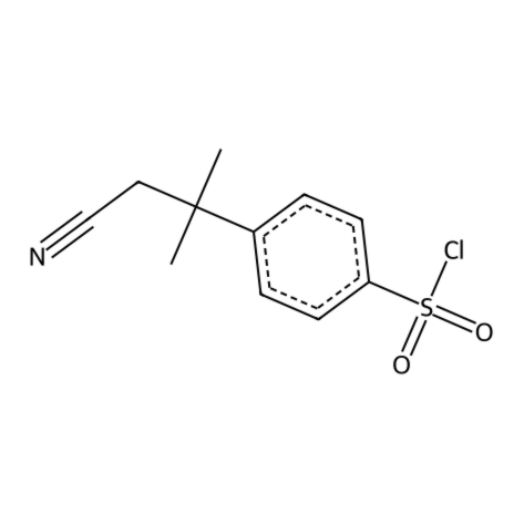 CC(C)(CC#N)c1ccc(S(=O)(=O)Cl)cc1